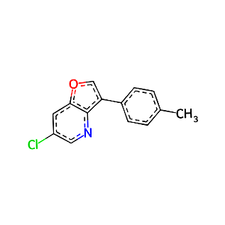 Cc1ccc(-c2coc3cc(Cl)cnc23)cc1